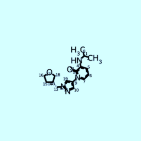 CC(C)Nc1cccn(-c2cnn(C[C@@H]3CCOC3)c2)c1=O